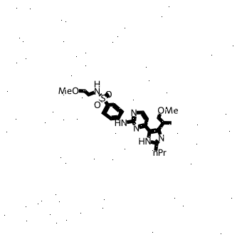 CCCc1nc(C(C)COC)c(-c2ccnc(Nc3ccc(S(=O)(=O)NCCOC)cc3)n2)[nH]1